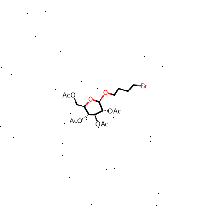 CC(=O)OC[C@H]1O[C@@H](OCCCCBr)[C@H](OC(C)=O)[C@@H](OC(C)=O)[C@@H]1OC(C)=O